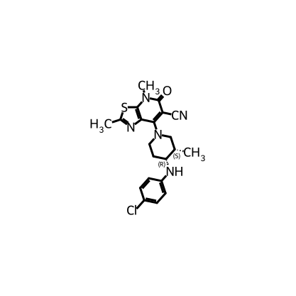 Cc1nc2c(N3CC[C@@H](Nc4ccc(Cl)cc4)[C@@H](C)C3)c(C#N)c(=O)n(C)c2s1